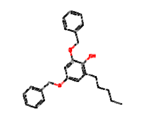 CCCCCc1cc(OCc2ccccc2)cc(OCc2ccccc2)c1O